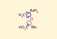 Cc1nc([AsH2])cc(OC2CCN(C(=O)O)C(C(C)(C)C)C2)n1